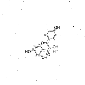 I.O=c1c(O)c(-c2ccc(O)cc2)oc2cc(O)cc(O)c12